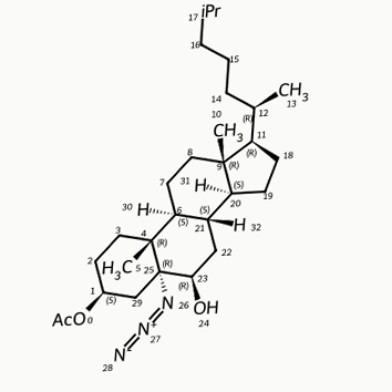 CC(=O)O[C@H]1CC[C@]2(C)[C@H]3CC[C@]4(C)[C@@H]([C@H](C)CCCC(C)C)CC[C@H]4[C@@H]3C[C@@H](O)[C@@]2(N=[N+]=[N-])C1